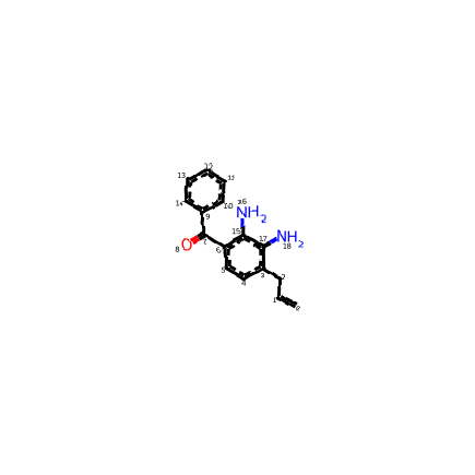 C=CCc1ccc(C(=O)c2ccccc2)c(N)c1N